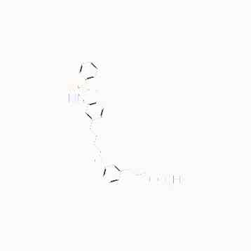 O=C(O)CCCc1cccc(OCCCCc2cccc(NS(=O)(=O)c3ccccc3)c2)c1